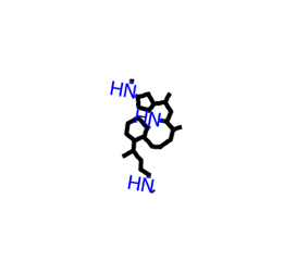 CNCCCC(C)C1CCCC2NC(CC(C)C3CCC(NC)C3)C(C)CCCC21